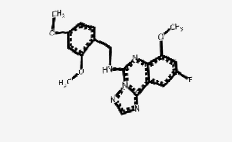 COc1ccc(CNc2nc3c(OC)cc(F)cc3c3ncnn23)c(OC)c1